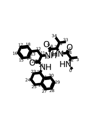 CNC(C)C(=O)NC(C(=O)NC(Cc1ccccc1)C(=O)NC1CCCc2ccccc21)C(C)C